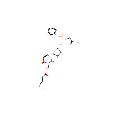 COCC[C@@H](N)C(=O)OCN1C(=O)C=CN([C@@H]2O[C@H](CON([C@@H](C)C(=O)OC(C)C)[PH](=O)Oc3ccccc3)C[C@@]2(C)F)C1O